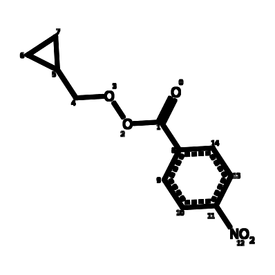 O=C(OOCC1CC1)c1ccc([N+](=O)[O-])cc1